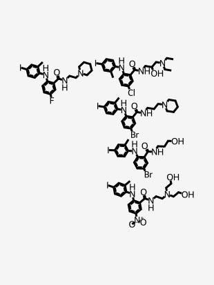 CCN(CC)CC(O)CNC(=O)c1cc(Cl)ccc1Nc1ccc(I)cc1C.Cc1cc(I)ccc1Nc1ccc(Br)cc1C(=O)NCCCN1CCCCC1.Cc1cc(I)ccc1Nc1ccc(Br)cc1C(=O)NCCCO.Cc1cc(I)ccc1Nc1ccc(F)cc1C(=O)NCCN1CCCCC1.Cc1cc(I)ccc1Nc1ccc([N+](=O)[O-])cc1C(=O)NCCN(CCO)CCO